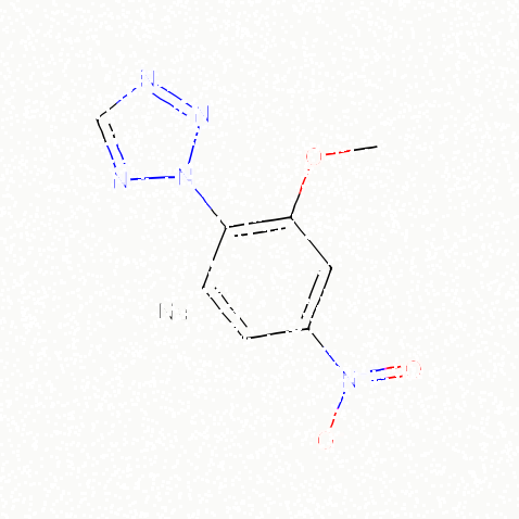 COc1cc([N+](=O)[O-])ccc1-n1ncnn1.[Na]